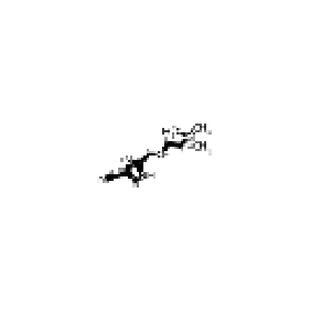 C[Si](C)(C)CCOCc1nc(C#N)c[nH]1